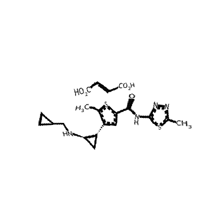 Cc1nnc(NC(=O)c2cc([C@@H]3C[C@H]3NCC3CC3)c(C)s2)s1.O=C(O)/C=C/C(=O)O